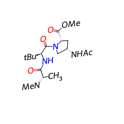 CN[C@@H](C)C(=O)N[C@H](C(=O)N1C[C@@H](NC(C)=O)C[C@H]1C(=O)OC)C(C)(C)C